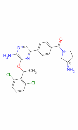 CC(Oc1nc(-c2ccc(C(=O)N3CC[C@@H](N)C3)cc2)cnc1N)c1c(Cl)cccc1Cl